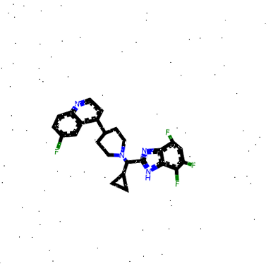 Fc1ccc2nccc(C3CCN(C(c4nc5c(F)cc(F)c(F)c5[nH]4)C4CC4)CC3)c2c1